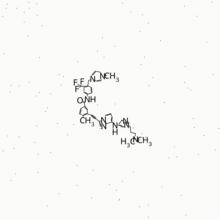 Cc1ccc(C(=O)Nc2ccc(CN3C=CCN(C)C=C3)c(C(F)(F)F)c2)cc1C#Cc1cnc2c(Nc3cnn(CCCN(C)C)c3)cccn12